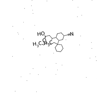 CCCCCC1(C2CC(C#N)CCC2C(C)CC(=O)O)CCCCC1